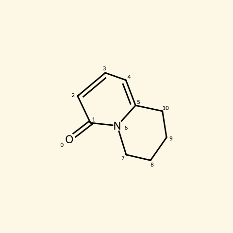 O=c1cccc2n1CCCC2